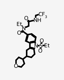 CCN(CC(=O)NCC(F)(F)F)C(=O)c1ccc2c(c1)c1c(n2S(=O)(=O)CC)CCC(C2CCOCC2)C1